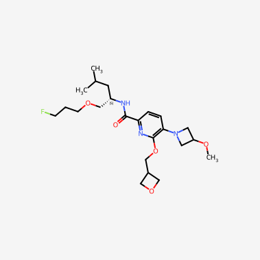 COC1CN(c2ccc(C(=O)N[C@H](COCCCF)CC(C)C)nc2OCC2COC2)C1